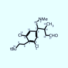 CNSC(c1cc(Cl)c(CCC(C)(C)C)c(Cl)c1)C(C)CC=O